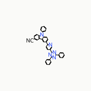 N#Cc1ccc2c(c1)c1cc(-c3ccc(-c4nc(-c5ccccc5)nc(-c5ccccc5)n4)cn3)ccc1n2-c1ccccc1